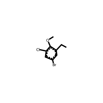 CCc1cc(Br)cc(Cl)c1OC